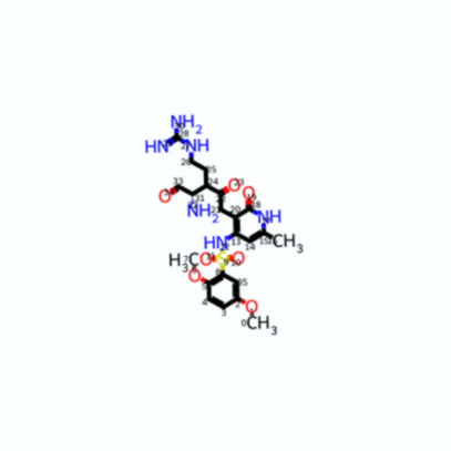 COc1ccc(OC)c(S(=O)(=O)Nc2cc(C)[nH]c(=O)c2CC(=O)C(CCNC(=N)N)[C@H](N)C=O)c1